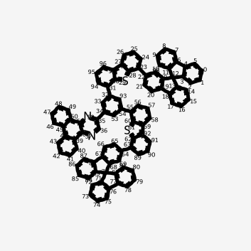 c1ccc2c(c1)-c1ccccc1C21c2ccccc2-c2ccc(-c3cccc4c3sc3c(-c5cc(-c6cnc7c8ccccc8c8ccccc8c7n6)cc(-c6cccc7c6sc6c(-c8ccc9c(c8)C8(c%10ccccc%10-c%10ccccc%108)c8ccccc8-9)cccc67)c5)cccc34)cc21